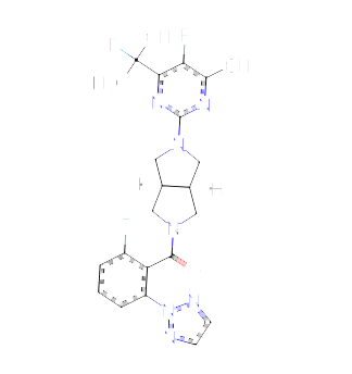 Cc1nc(N2C[C@H]3CN(C(=O)c4c(F)cccc4-n4nccn4)C[C@H]3C2)nc(C(C)(C)F)c1F